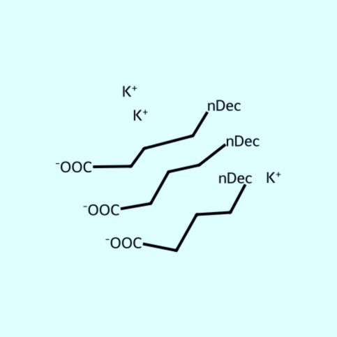 CCCCCCCCCCCCCC(=O)[O-].CCCCCCCCCCCCCC(=O)[O-].CCCCCCCCCCCCCC(=O)[O-].[K+].[K+].[K+]